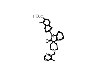 Cc1cccnc1CN1CCC2(CC1)C(=O)N(c1ccc3c(C)c(C(=O)O)ccc3c1)c1ccccc12